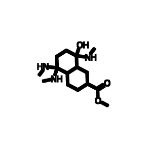 CNC1(O)CCC(NC)(NC)C2CCC(C(=O)OC)CC21